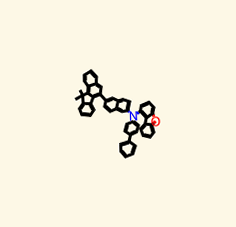 CC1(C)c2ccccc2-c2c(-c3ccc4cc(N(c5ccc(-c6ccccc6)cc5)c5cccc6oc7ccccc7c56)ccc4c3)cc3ccccc3c21